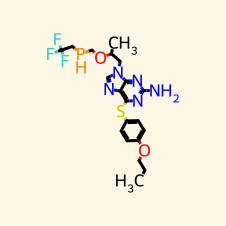 CCCOc1ccc(Sc2nc(N)nc3c2ncn3CC(C)OCPCC(F)(F)F)cc1